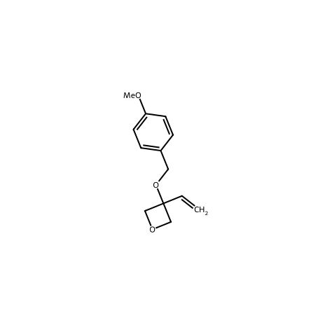 C=CC1(OCc2ccc(OC)cc2)COC1